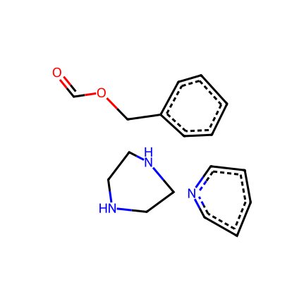 C1CNCCN1.O=COCc1ccccc1.c1ccncc1